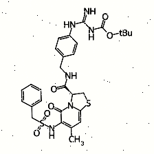 Cc1cc2n(c(=O)c1NS(=O)(=O)Cc1ccccc1)[C@@H](C(=O)NCc1ccc(NC(=N)NC(=O)OC(C)(C)C)cc1)CS2